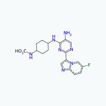 Nc1cnc(-c2cnc3ccc(F)cn23)nc1NC1CCC(NC(=O)O)CC1